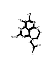 CSc1nc2c3c(nc(Cl)c(F)c3n1)OCCN2CC(F)F